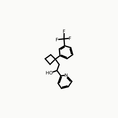 OC(CC1(c2cccc(C(F)(F)F)c2)CCC1)c1ccccn1